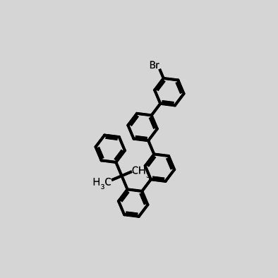 CC(C)(c1ccccc1)c1ccccc1-c1cccc(-c2cccc(-c3cccc(Br)c3)c2)c1